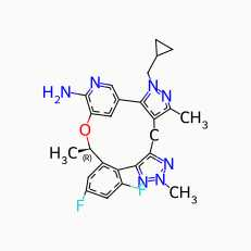 Cc1nn(CC2CC2)c2c1Cc1nn(C)nc1-c1c(F)cc(F)cc1[C@@H](C)Oc1cc-2cnc1N